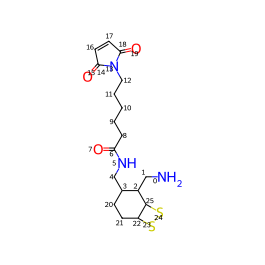 NCC1C(CNC(=O)CCCCCN2C(=O)C=CC2=O)CCC2SSC21